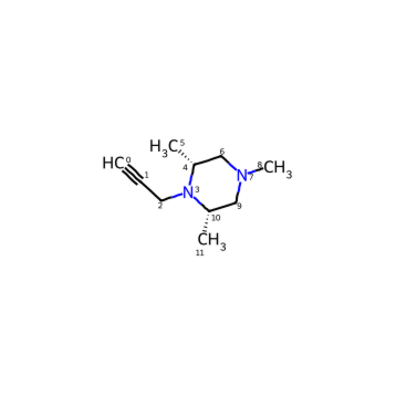 C#CCN1[C@H](C)CN(C)C[C@@H]1C